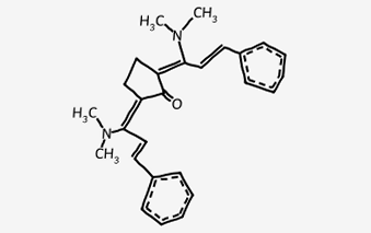 CN(C)C(C=Cc1ccccc1)=C1CCC(=C(C=Cc2ccccc2)N(C)C)C1=O